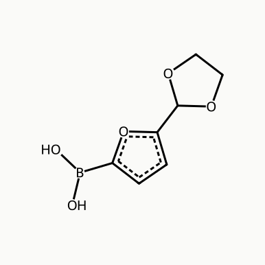 OB(O)c1ccc(C2OCCO2)o1